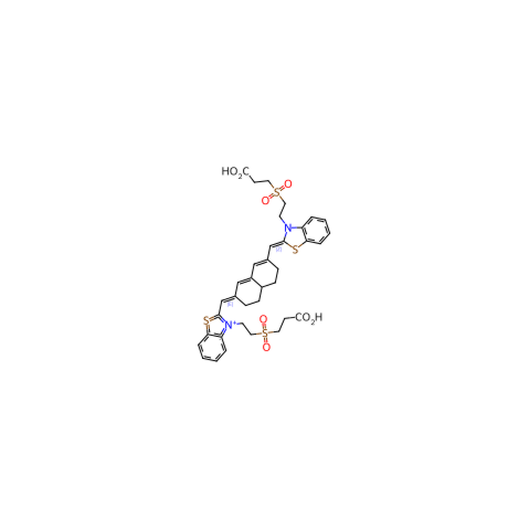 O=C(O)CCS(=O)(=O)CCN1/C(=C/C2=CC3=C/C(=C/c4sc5ccccc5[n+]4CCS(=O)(=O)CCC(=O)O)CCC3CC2)Sc2ccccc21